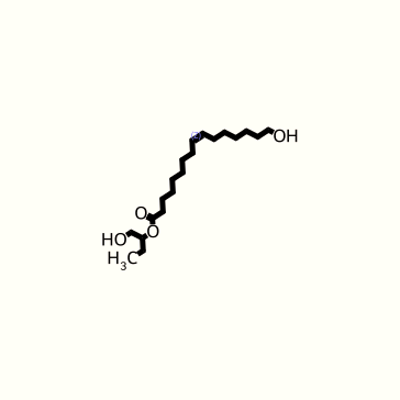 CCC(CO)OC(=O)CCCCCCC/C=C\CCCCCCO